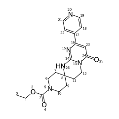 CCOC(=O)N1CCC2(CC1)CCn1c(nc(-c3ccncc3)cc1=O)N2